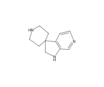 c1cc2c(cn1)NCC21CCNCC1